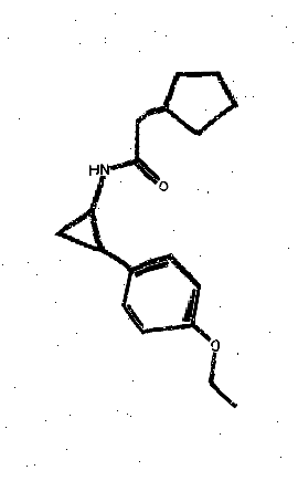 CCOc1ccc(C2CC2NC(=O)CC2CCCC2)cc1